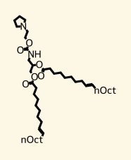 CCCCCCCCC=CCCCCCCCC(=O)OCC(CNC(=O)OCCN1CCCC1)OC(=O)CCCCCCCC=CCCCCCCCC